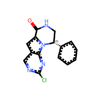 O=C1NC[C@H](c2ccccc2)n2c1cc1cnc(Cl)nc12